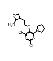 NC1OCC1CCOc1c(Cl)nc(Cl)nc1N1C[CH]CC1